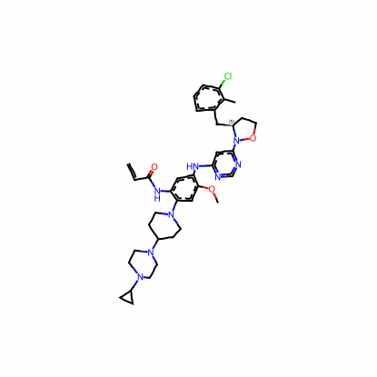 C=CC(=O)Nc1cc(Nc2cc(N3OCC[C@@H]3Cc3cccc(Cl)c3C)ncn2)c(OC)cc1N1CCC(N2CCN(C3CC3)CC2)CC1